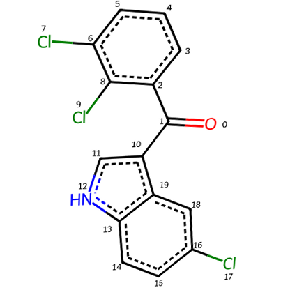 O=C(c1cccc(Cl)c1Cl)c1c[nH]c2ccc(Cl)cc12